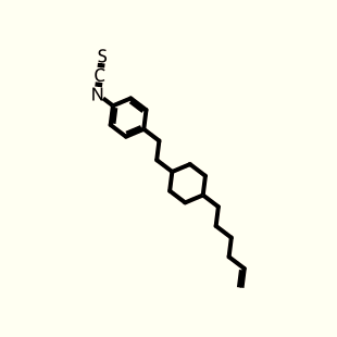 C=CCCCCC1CCC(CCc2ccc(N=C=S)cc2)CC1